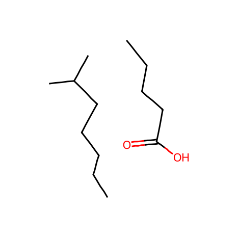 CCCCC(=O)O.CCCCCC(C)C